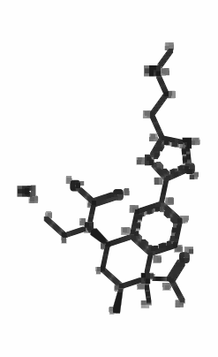 CCN(C(=O)[O-])[C@@H]1C[C@H](C)[N+](C)(C(C)=O)c2ccc(-c3nc(CCNC)no3)cc21.Cl